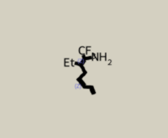 C=C/C=C\C/C(CC)=C(\N)C(F)(F)F